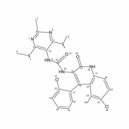 CSc1nc(C)nc(SC)c1NC(=O)Nc1c(-c2ccccc2Cl)c2c(C)c(Cl)ccc2[nH]c1=O